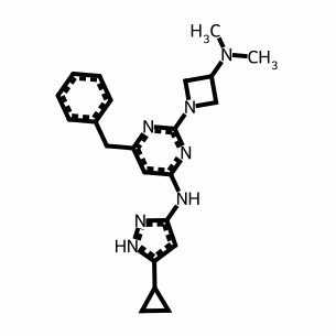 CN(C)C1CN(c2nc(Cc3ccccc3)cc(Nc3cc(C4CC4)[nH]n3)n2)C1